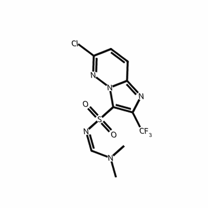 CN(C)/C=N\S(=O)(=O)c1c(C(F)(F)F)nc2ccc(Cl)nn12